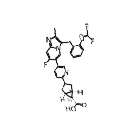 Cc1nc2cc(F)c(-c3ccc(C4C[C@@H]5[C@H](C4)[C@H]5C(=O)O)nc3)cn2c1Cc1ccccc1OC(F)F